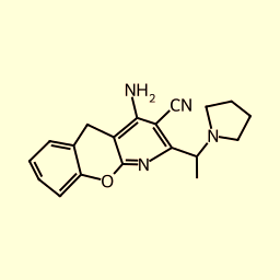 CC(c1nc2c(c(N)c1C#N)Cc1ccccc1O2)N1CCCC1